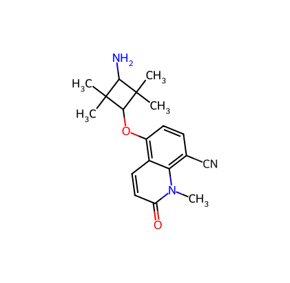 Cn1c(=O)ccc2c(OC3C(C)(C)C(N)C3(C)C)ccc(C#N)c21